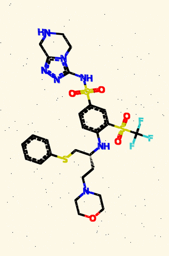 O=S(=O)(Nc1nnc2n1CCNC2)c1ccc(N[C@H](CCN2CCOCC2)CSc2ccccc2)c(S(=O)(=O)C(F)(F)F)c1